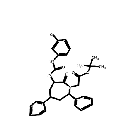 CC(C)(C)OC(=O)CN1C(=O)C(NC(=O)Nc2cccc(Cl)c2)CC(c2ccccc2)CC1c1ccccc1